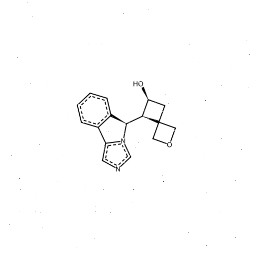 O[C@H]1CC2(COC2)[C@H]1[C@@H]1c2ccccc2-c2cncn21